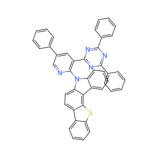 c1ccc(-c2cnc(-n3c4ccccc4c4c5sc6ccccc6c5ccc43)c(-c3nc(-c4ccccc4)nc(-c4ccccc4)n3)c2)cc1